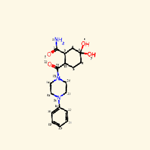 NC(=O)C1CC(O)(O)CCC1C(=O)N1CCN(c2ccccc2)CC1